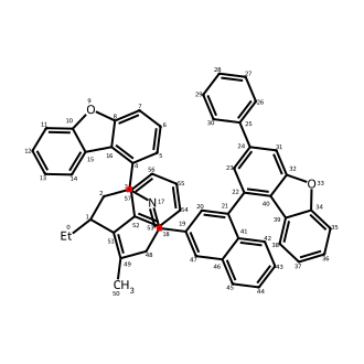 CCC1CC(c2cccc3oc4ccccc4c23)/N=C(/c2cc(-c3cc(-c4ccccc4)cc4oc5ccccc5c34)c3ccccc3c2)C/C(C)=C/1c1ccccc1